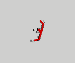 CCCCCC/C=C\COC(=O)CCCCCCCN(CCCCCCCC(=O)OC/C=C\CCCCCC)[C@@H](O)SCCN(C)C